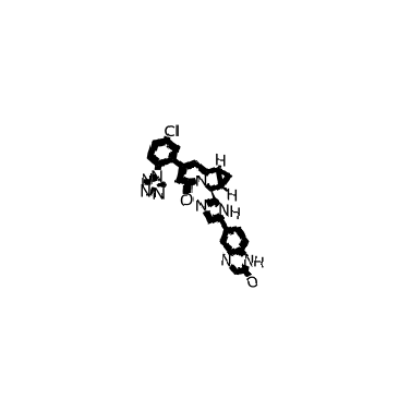 O=c1cnc2cc(-c3cnc([C@@H]4[C@H]5C[C@H]5c5cc(-c6cc(Cl)ccc6-n6cnnn6)cc(=O)n54)[nH]3)ccc2[nH]1